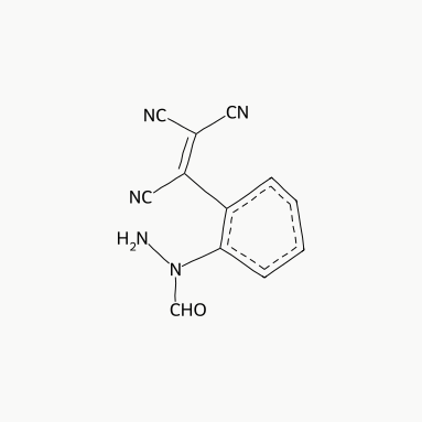 N#CC(C#N)=C(C#N)c1ccccc1N(N)C=O